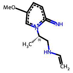 C=CNC[C@H](C)n1cc(OC)ccc1=N